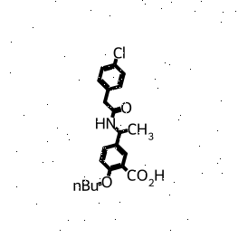 CCCCOc1ccc(C(C)NC(=O)Cc2ccc(Cl)cc2)cc1C(=O)O